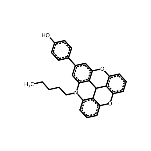 CCCCCN1c2cccc3c2C2c4c(cccc4Oc4cc(-c5ccc(O)cc5)cc1c42)O3